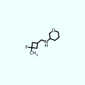 CC1(F)CC(CNC2CCCOC2)C1